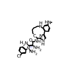 CNc1ccc2c(c1)NCCCCCC(NC(=O)/C(N)=C(\N)N(N)c1cccc(Cl)c1)c1nc-2c[nH]1